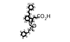 CN(CCc1ccccc1)C(=O)Cn1cc(/C=C/C(=O)O)c2c(/C=C/c3ccccc3)cccc21